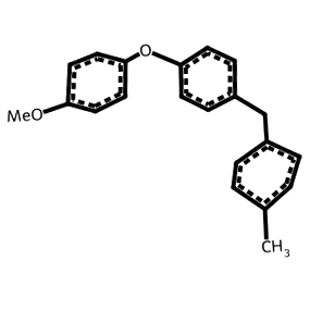 COc1ccc(Oc2ccc(Cc3ccc(C)cc3)cc2)cc1